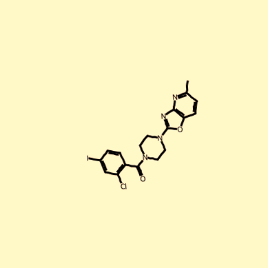 Cc1ccc2oc(N3CCN(C(=O)c4ccc(I)cc4Cl)CC3)nc2n1